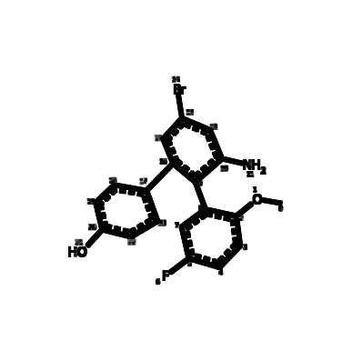 COc1ccc(F)cc1-c1c(N)cc(Br)cc1-c1ccc(O)cc1